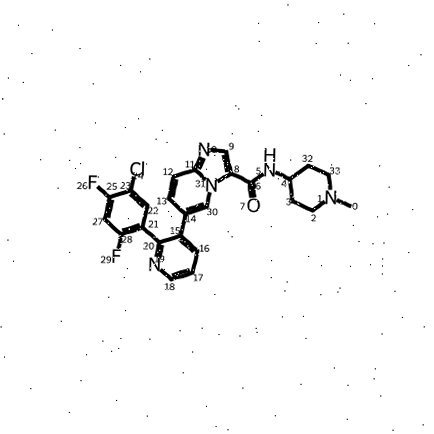 CN1CCC(NC(=O)c2cnc3ccc(-c4cccnc4-c4cc(Cl)c(F)cc4F)cn23)CC1